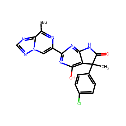 CCCCc1nc(-c2nc(O)c3c(n2)NC(=O)C3(C)c2ccc(Cl)cc2)cn2ncnc12